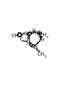 CCCCO[C@H]1/C=C/C[C@@H]2C[C@@]2(C)S(=O)(=O)NC(=O)c2ccc3c(c2)N(CCCCc2cc(Cl)ccc2CO3)C[C@@H]2CC[C@H]21